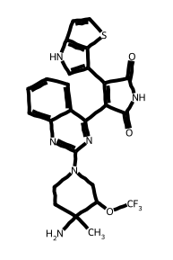 CC1(N)CCN(c2nc(C3=C(c4c[nH]c5ccsc45)C(=O)NC3=O)c3ccccc3n2)CC1OC(F)(F)F